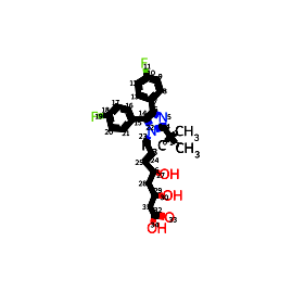 CC(C)(C)c1nc(-c2ccc(F)cc2)c(-c2ccc(F)cc2)n1CC=CC(O)CC(O)CC(=O)O